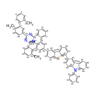 Cc1ccccc1-c1cc(-c2nc(-c3ccccc3)nc(-c3cccc(C)c3-c3cc(-c4ccc5sc6c(-c7ccc8c(c7)c7ccccc7n8-c7ccccc7)cccc6c5c4)ccc3C)n2)ccc1C